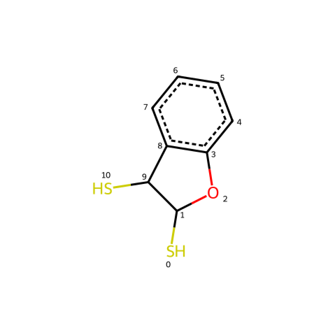 SC1Oc2ccccc2C1S